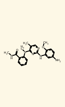 CNC(=O)c1ccccc1N(C)c1nc(Nc2cc(N)ccc2OC)ncc1C